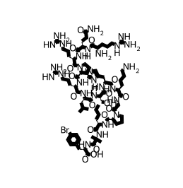 CCCC[C@H](NC(=O)[C@@H]1CCCN1C(=O)CNC(=O)[C@H](CCCCN)NC(=O)[C@H](Cc1c[nH]cn1)NC(=O)[C@H](CO)NC(=O)[C@H](CC(C)C)NC(=O)[C@H](CCCNC(=N)N)NC(=O)[C@@H]1CCCN1C(=O)[C@H](CCCNC(=N)N)NC(=O)[C@H](CCC(N)=O)NC(=O)[C@@H](N)CCCNC(=N)N)C(=O)NC(C)(C)C(=O)N[C@@H](Cc1ccc(Br)cc1)C(=O)O